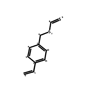 C=Cc1ccc(CSC=S)cc1